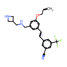 C=CCOc1cc(/C=C/c2cc(C#N)cc(C(F)(F)F)c2)cc(CNCC2CNC2)c1